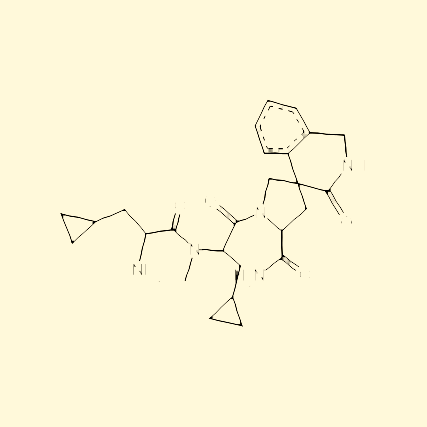 CN(C(=O)C(N)CC1CC1)C(CC1CC1)C(=O)N1CC2(CC1C(N)=O)C(=O)NCc1ccccc12